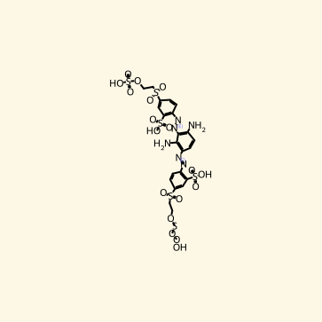 Nc1ccc(/N=N/c2ccc(S(=O)(=O)CCOSOOO)cc2S(=O)(=O)O)c(N)c1/N=N/c1ccc(S(=O)(=O)CCOS(=O)(=O)O)cc1S(=O)(=O)O